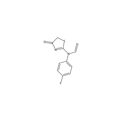 O=CN(C1=NC(=O)CS1)c1ccc(F)cc1